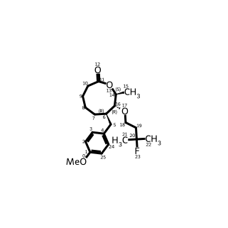 COc1ccc(C[C@H]2CCCCC(=O)O[C@@H](C)[C@@H]2OCCC(C)(C)F)cc1